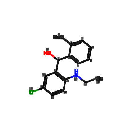 COc1ccccc1C(O)c1cc(Cl)ccc1NCC(C)(C)C